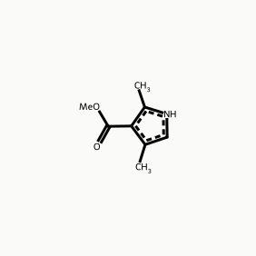 COC(=O)c1c(C)c[nH]c1C